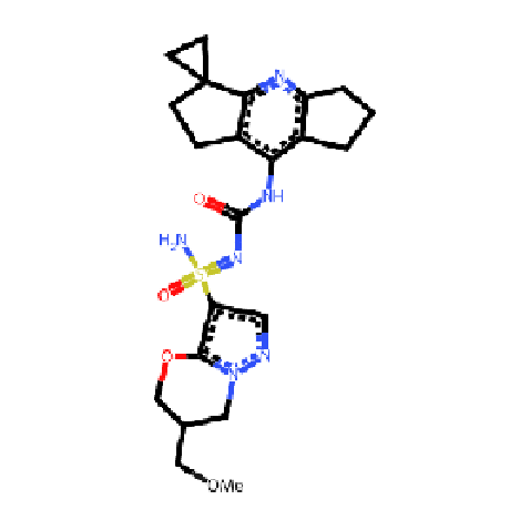 COCC1COc2c(S(N)(=O)=NC(=O)Nc3c4c(nc5c3CCC53CC3)CCC4)cnn2C1